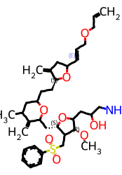 C=CCOC/C=C/C1CC(=C)[C@H](CCC2CC(C)C(=C)C(C[C@@H]3OC(CC(O)CN)[C@H](OC)C3CS(=O)(=O)c3ccccc3)O2)O1